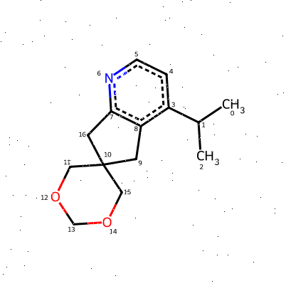 CC(C)c1ccnc2c1CC1(COCOC1)C2